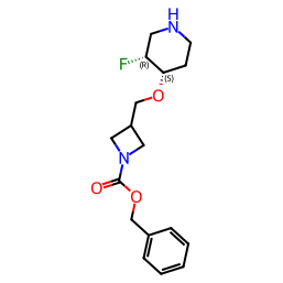 O=C(OCc1ccccc1)N1CC(CO[C@H]2CCNC[C@H]2F)C1